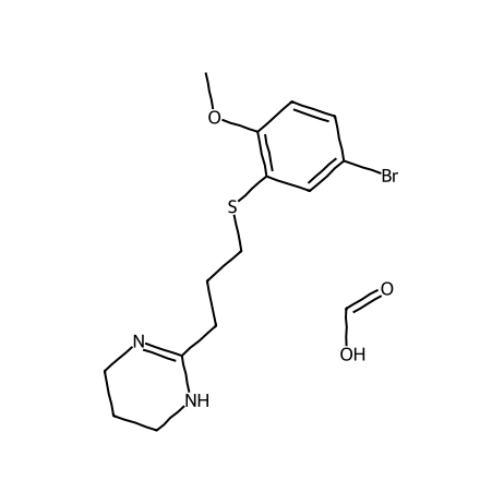 COc1ccc(Br)cc1SCCCC1=NCCCN1.O=CO